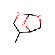 CC1CO[C]2OCC1O2